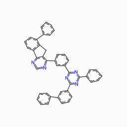 c1ccc(-c2cccc(-c3nc(-c4ccccc4)nc(-c4cccc(-c5ncnc6c5Cc5c(-c7ccccc7)cccc5-6)c4)n3)c2)cc1